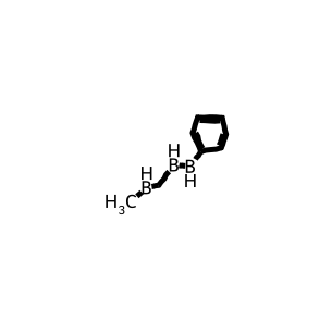 CBCBBc1ccccc1